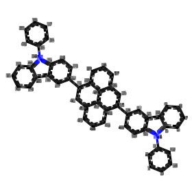 c1ccc(-n2c3ccccc3c3cc(-c4cc5cccc6c(-c7ccc8c(c7)c7ccccc7n8-c7ccccc7)cc7cccc4c7c56)ccc32)cc1